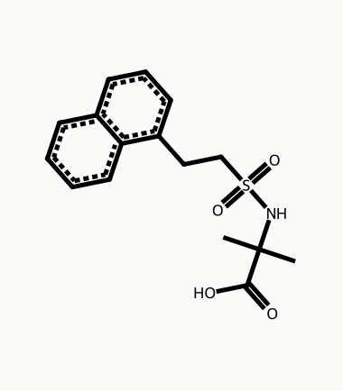 CC(C)(NS(=O)(=O)CCc1cccc2ccccc12)C(=O)O